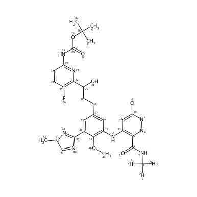 [2H]C([2H])([2H])NC(=O)c1nnc(Cl)cc1Nc1cc(CCC(O)c2nc(NC(=O)OC(C)(C)C)ccc2F)cc(-c2ncn(C)n2)c1OC